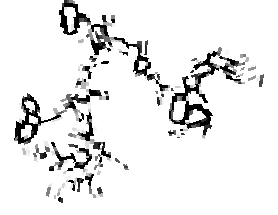 CC[C@@]1(O)C(=O)OCc2c1cc1n(c2=O)Cc2c-1nc1cc(F)c(C)c3c1c2[C@@H](NC(=O)OCc1ccc(NC(=O)CNC(=O)[C@H](Cc2ccccc2)NC(=O)CNC(=O)CNC(=O)[C@H](CCCC(=O)N[C@H]2O[C@H](C(=O)OC)[C@@H](OC(C)=O)[C@H](OC(C)=O)[C@H]2OC(C)=O)NC(=O)OCC2c4ccccc4-c4ccccc42)cc1)CC3